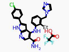 CCc1c(Cn2ccnc2)cccc1Nc1c(C(N)=O)cnc2[nH]c(-c3ccc(Cl)cc3)cc12.O=C(O)C(F)(F)F